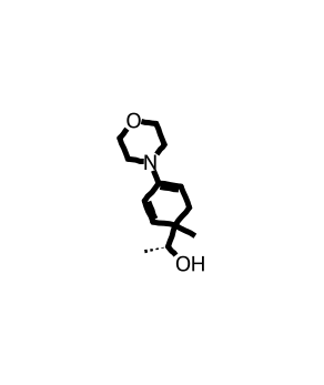 C[C@@H](O)C1(C)C=CC(N2CCOCC2)=CC1